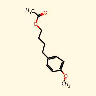 COc1ccc(CCCCOC(C)=O)cc1